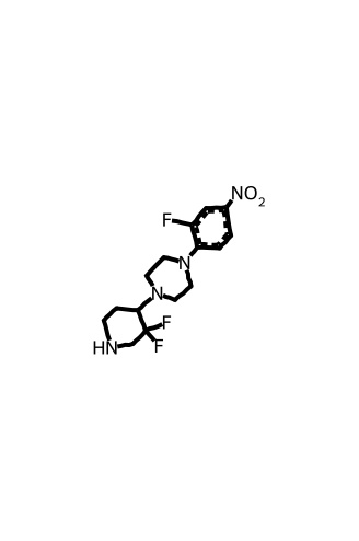 O=[N+]([O-])c1ccc(N2CCN(C3CCNCC3(F)F)CC2)c(F)c1